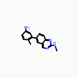 CNc1ncc2cc(-c3cc(N)ccc3C)ccc2n1